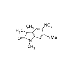 CNc1cc2c(cc1[N+](=O)[O-])C(C)(C)C(=O)N2C